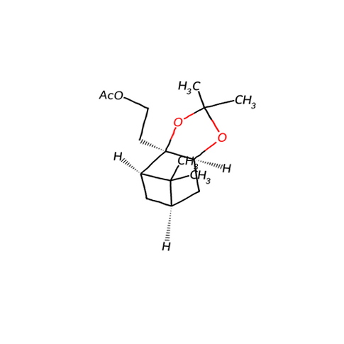 CC(=O)OCC[C@]12OC(C)(C)O[C@H]1C[C@H]1C[C@@H]2C1(C)C